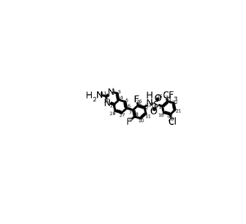 Nc1ncc2cc(-c3c(F)ccc(NS(=O)(=O)c4cc(Cl)ccc4C(F)(F)F)c3F)ccc2n1